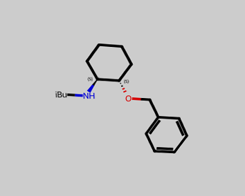 CCC(C)N[C@H]1CCCC[C@@H]1OCc1ccccc1